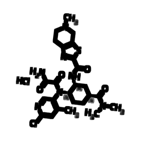 Cc1cc(Cl)ncc1N(C(=O)C(N)=O)[C@H]1CC[C@H](C(=O)N(C)C)C[C@H]1NC(=O)c1nc2c(s1)CN(C)CC2.Cl